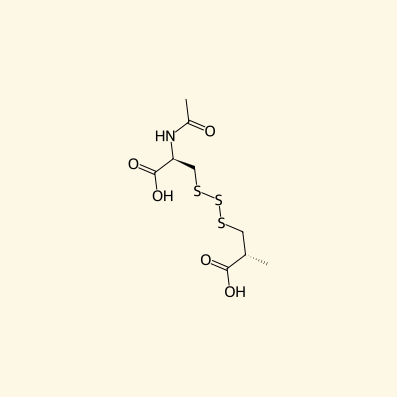 CC(=O)N[C@@H](CSSSC[C@H](C)C(=O)O)C(=O)O